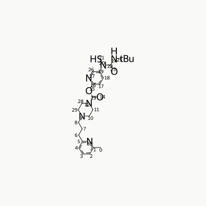 Cc1cccc(CCCN2CCN(C(=O)Oc3ccc(N(S)C(=O)NC(C)(C)C)cn3)CC2)n1